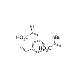 C=C(CC)C(=O)O.C=C(CCCC)C(=O)O.C=Cc1ccccc1